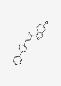 O=C(C=Cc1ccc(-c2ccccc2)cc1)c1occ2cc(Cl)ccc12